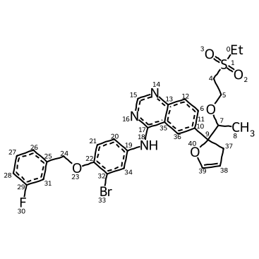 CCS(=O)(=O)CCOC(C)C1(c2ccc3ncnc(Nc4ccc(OCc5cccc(F)c5)c(Br)c4)c3c2)CC=CO1